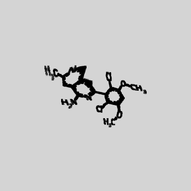 COc1cc(OC)c(Cl)c(-c2cc3cnc(C)cc3c(N)n2)c1Cl